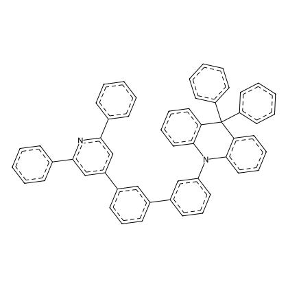 c1ccc(-c2cc(-c3cccc(-c4cccc(N5c6ccccc6C(c6ccccc6)(c6ccccc6)c6ccccc65)c4)c3)cc(-c3ccccc3)n2)cc1